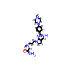 CN1CCN(c2ccc(C3N=C4C(=CN3)CCN4CCCN(C)CC(N)=O)cc2)CC1